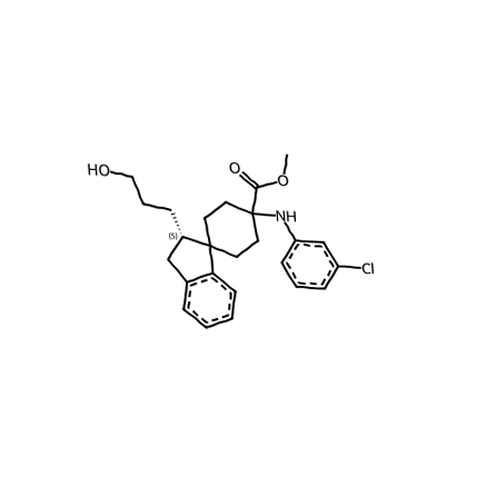 COC(=O)C1(Nc2cccc(Cl)c2)CCC2(CC1)c1ccccc1C[C@@H]2CCCO